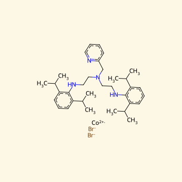 CC(C)c1cccc(C(C)C)c1NCCN(CCNc1c(C(C)C)cccc1C(C)C)Cc1ccccn1.[Br-].[Br-].[Co+2]